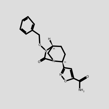 NC(=O)c1cc([C@@H]2CC[C@@H]3CN2C(=O)N3OCc2ccccc2)no1